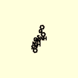 O=C(NC(=S)Nc1cccc(Oc2ccccc2)c1)C1CN2C(=N1)Sc1ccccc12